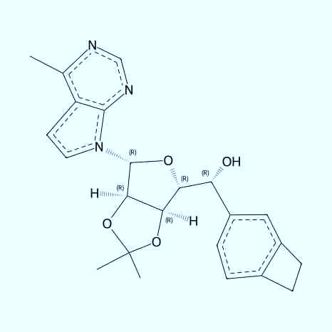 Cc1ncnc2c1ccn2[C@@H]1O[C@H]([C@H](O)c2ccc3c(c2)CC3)[C@H]2OC(C)(C)O[C@H]21